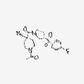 CC(=O)N1CCC(C#N)(C(=O)N2CCC(S(=O)(=O)c3ccc(F)cc3)C2)CC1